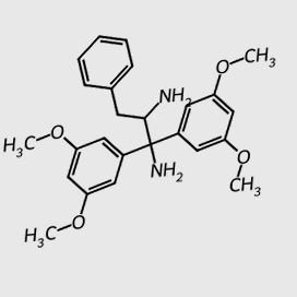 COc1cc(OC)cc(C(N)(c2cc(OC)cc(OC)c2)C(N)Cc2ccccc2)c1